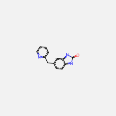 O=C1N=c2[c]c(Cc3ccccn3)ccc2=N1